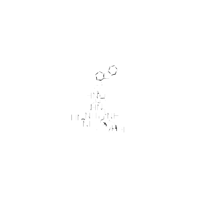 N=C(N)NCCCC(NC(=O)OCc1cccc2c1Cc1ccccc1-2)C(=O)NCC(=O)NC(CC(=O)O)C(=O)O